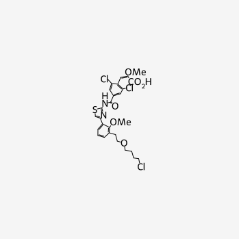 CO/C(=C/c1c(Cl)cc(C(=O)Nc2nc(-c3cccc(CCOCCCCCl)c3OC)cs2)cc1Cl)C(=O)O